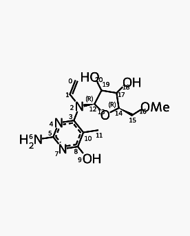 C=CN(c1nc(N)nc(O)c1C)[C@@H]1O[C@H](COC)C(O)C1O